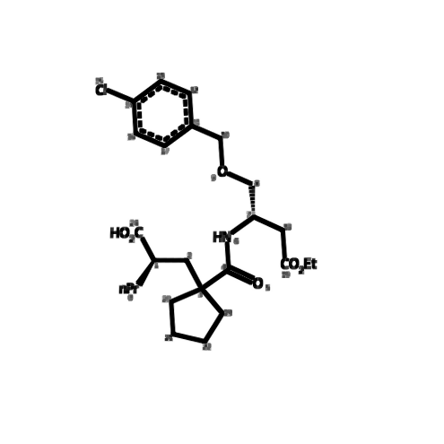 CCC[C@H](CC1(C(=O)N[C@H](COCc2ccc(Cl)cc2)CC(=O)OCC)CCCC1)C(=O)O